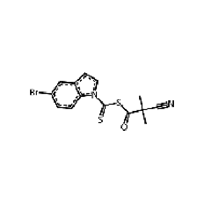 CC(C)(C#N)C(=O)SC(=S)n1ccc2cc(Br)ccc21